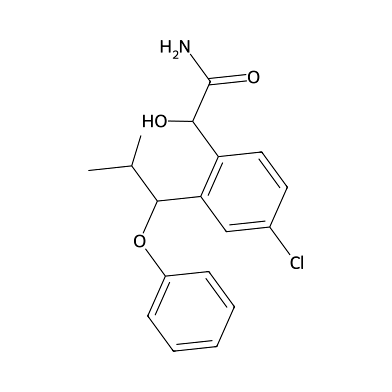 CC(C)C(Oc1ccccc1)c1cc(Cl)ccc1C(O)C(N)=O